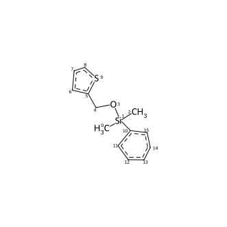 C[Si](C)(OCc1cccs1)c1ccccc1